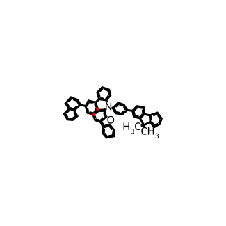 CC1(C)c2ccccc2-c2ccc(-c3ccc(N(c4ccccc4-c4cccc(-c5cccc6ccccc56)c4)c4cccc5c4oc4ccccc45)cc3)cc21